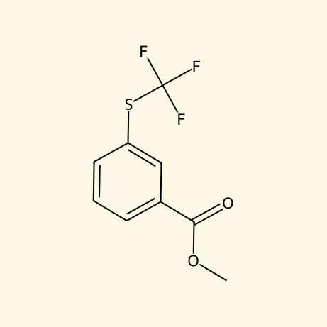 COC(=O)c1cccc(SC(F)(F)F)c1